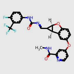 CNC(=O)c1cc(Oc2ccc3c(c2)[C@H]2C(/C=N/C(=O)Nc4ccc(F)c(C(F)(F)F)c4)[C@H]2O3)ccn1